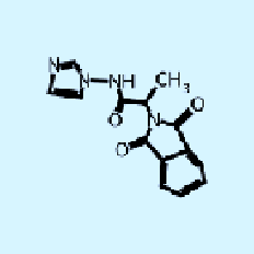 CC(C(=O)Nn1ccnc1)N1C(=O)c2ccccc2C1=O